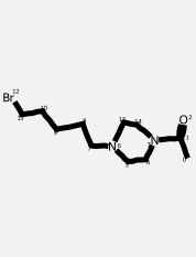 CC(=O)N1CCN(CCCCCBr)CC1